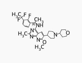 COc1nc2nc(C)nc(N[C@H](C)c3cccc(C(C)(F)F)c3F)c2cc1C1CCN(C2CCOCC2)CC1